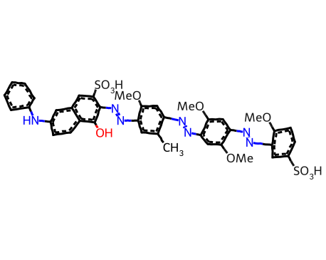 COc1cc(N=Nc2cc(S(=O)(=O)O)ccc2OC)c(OC)cc1N=Nc1cc(OC)c(N=Nc2c(S(=O)(=O)O)cc3cc(Nc4ccccc4)ccc3c2O)cc1C